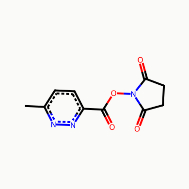 Cc1ccc(C(=O)ON2C(=O)CCC2=O)nn1